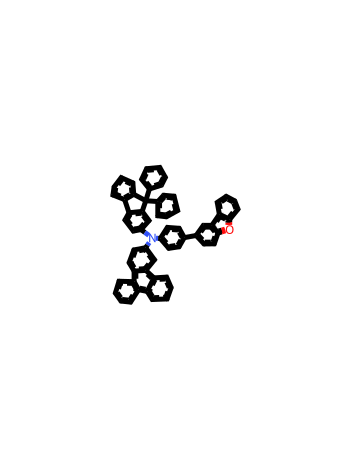 c1ccc(C2(c3ccccc3)c3ccccc3-c3ccc(N(c4ccc(-c5ccc6oc7ccccc7c6c5)cc4)c4ccc5c6ccccc6c6ccccc6c5c4)cc32)cc1